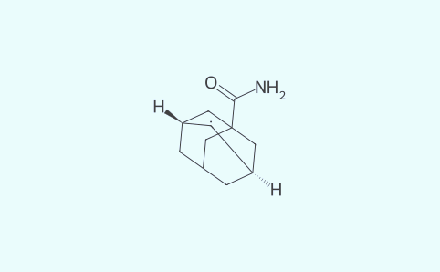 NC(=O)C12CC3C[C@@H]([CH][C@H](C3)C1)C2